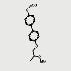 CCCCCCCCOc1ccc(-c2ccc(OCC(C)OCCCC)cc2)cc1